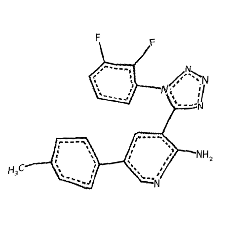 Cc1ccc(-c2cnc(N)c(-c3nnnn3-c3cccc(F)c3F)c2)cc1